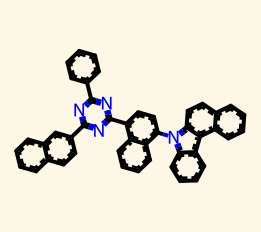 c1ccc(-c2nc(-c3ccc4ccccc4c3)nc(-c3ccc(-n4c5ccccc5c5c6ccccc6ccc54)c4ccccc34)n2)cc1